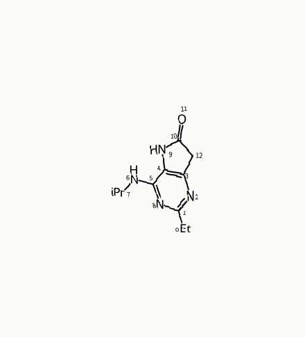 CCc1nc2c(c(NC(C)C)n1)NC(=O)C2